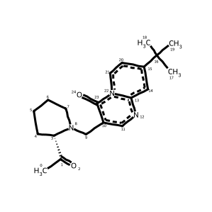 CC(=O)[C@@H]1CCCCN1Cc1cnc2cc(C(C)(C)C)ccn2c1=O